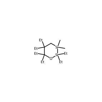 CCC1(CC)C[Si](C)(C)[Si](CC)(CC)OC1(CC)CC